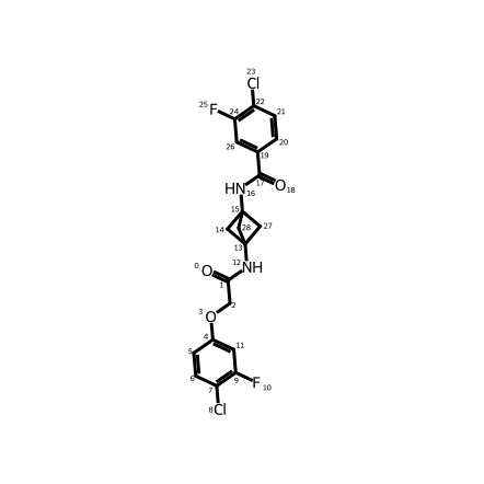 O=C(COc1ccc(Cl)c(F)c1)NC12CC(NC(=O)c3ccc(Cl)c(F)c3)(C1)C2